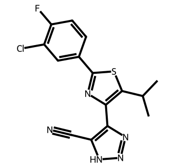 CC(C)c1sc(-c2ccc(F)c(Cl)c2)nc1-c1nn[nH]c1C#N